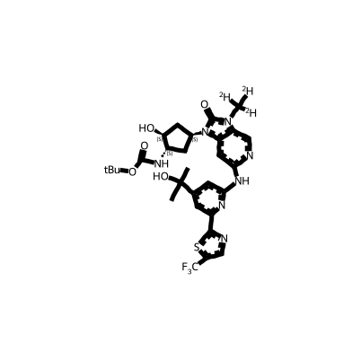 [2H]C([2H])([2H])n1c(=O)n([C@H]2C[C@H](NC(=O)OC(C)(C)C)[C@@H](O)C2)c2cc(Nc3cc(C(C)(C)O)cc(-c4ncc(C(F)(F)F)s4)n3)ncc21